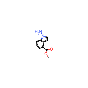 COC(=O)c1cccc2c1ccn2N